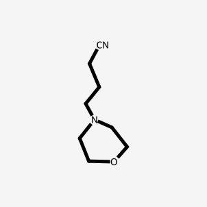 N#CCCCN1CCOCC1